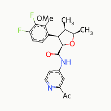 COc1c([C@H]2[C@@H](C)[C@@H](C)O[C@H]2C(=O)Nc2ccnc(C(C)=O)c2)ccc(F)c1F